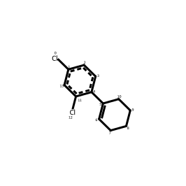 Clc1ccc(C2=CCCCC2)c(Cl)c1